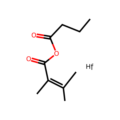 CCCC(=O)OC(=O)C(C)=C(C)C.[Hf]